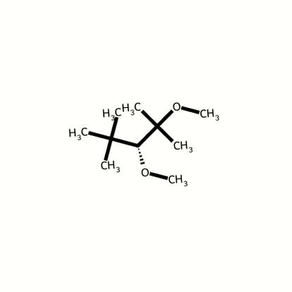 CO[C@H](C(C)(C)C)C(C)(C)OC